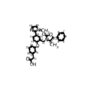 C[C@H]1[C@@H](c2ccccc2)OC(=O)N1Cc1cc(-c2nccn2C)ccc1Oc1cccc(CC(=O)O)c1